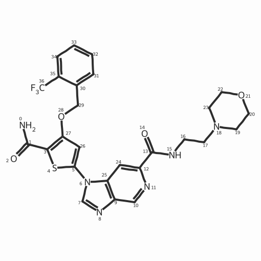 NC(=O)c1sc(-n2cnc3cnc(C(=O)NCCN4CCOCC4)cc32)cc1OCc1ccccc1C(F)(F)F